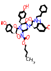 CCCCCOC(=O)N1O[C@H](Cc2ccc(O)cc2)C(=O)N2C1CN([C@@H](Cc1ccc(O)cc1)C(=O)NCCc1ccccc1)C(=O)[C@@H]2Cc1ccc(O)cc1